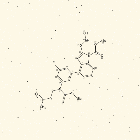 CN(C)CCN(C(=O)OC(C)(C)C)c1cc(F)cc(-c2ccnc3c2cc(OBO)n3C(=O)OC(C)(C)C)c1